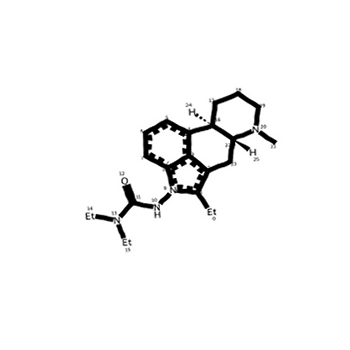 CCc1c2c3c(cccc3n1NC(=O)N(CC)CC)[C@H]1CCCN(C)[C@@H]1C2